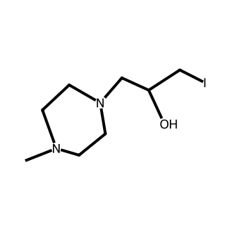 CN1CCN(CC(O)CI)CC1